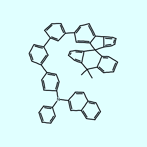 CC1(C)c2ccccc2C2(c3ccccc3-c3ccc(-c4cccc(-c5cccc(-c6ccc(N(c7ccccc7)c7ccc8ccccc8c7)cc6)c5)c4)cc32)c2ccccc21